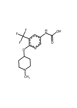 CN1CCC(Oc2ncc(NC(=O)O)cc2C(F)(F)F)CC1